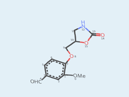 COc1cc(C=O)ccc1OCC1CNC(=O)O1